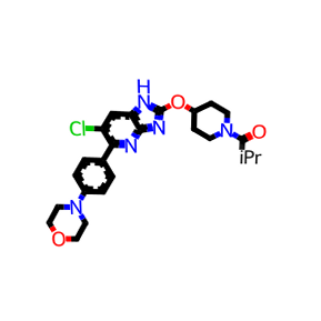 CC(C)C(=O)N1CCC(Oc2nc3nc(-c4ccc(N5CCOCC5)cc4)c(Cl)cc3[nH]2)CC1